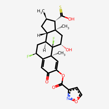 C[C@@H]1C[C@H]2[C@@H]3C[C@H](F)C4=CC(=O)C(OC(=O)c5ccon5)=C[C@]4(C)[C@@]3(F)[C@@H](O)C[C@]2(C)[C@H]1C(O)=S